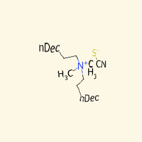 CCCCCCCCCCCC[N+](C)(C)CCCCCCCCCCCC.N#C[S-]